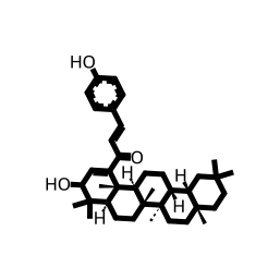 CC1(C)CC[C@]2(C)CC[C@]3(C)[C@H](CC[C@@H]4[C@@]5(C)C(C(=O)/C=C/c6ccc(O)cc6)=CC(O)C(C)(C)[C@@H]5CC[C@]43C)[C@@H]2C1